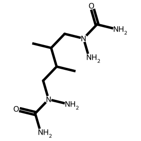 CC(CN(N)C(N)=O)C(C)CN(N)C(N)=O